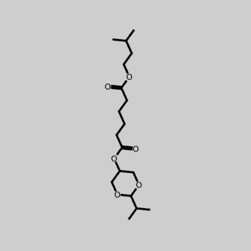 CC(C)CCOC(=O)CCCCC(=O)OC1COC(C(C)C)OC1